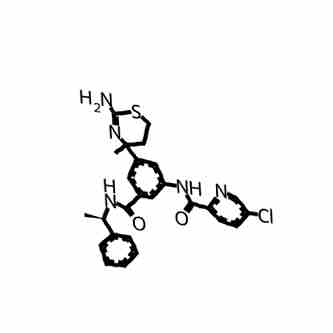 C[C@@H](NC(=O)c1cc(NC(=O)c2ccc(Cl)cn2)cc(C2(C)CCSC(N)=N2)c1)c1ccccc1